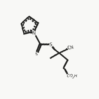 CC(C#N)(CCC(=O)O)SC(=S)n1cccc1